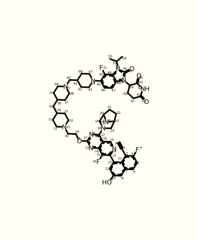 C#Cc1c(F)ccc2cc(O)cc(-c3ncc4c(N5CC6CCC(C5)N6)nc(OCCN5CCC(CC6CCN(CC7CCN(c8ccc9c(c8F)n(C(C)C)c(=O)n9C8CCC(=O)NC8=O)CC7)CC6)CC5)nc4c3F)c12